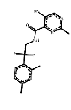 Cc1ccc(C(F)(F)CNC(=O)c2nc(C)ncc2Br)c(C)c1